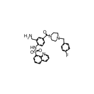 NCc1cc(C(=O)N2CCN(Cc3ccc(F)cc3)CC2)ccc1NS(=O)(=O)c1cccc2cccnc12